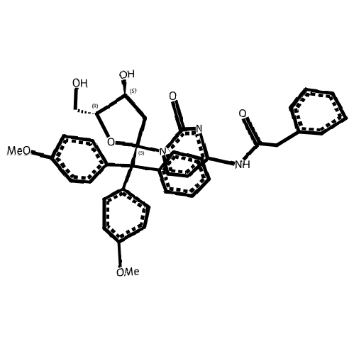 COc1ccc(C(c2ccccc2)(c2ccc(OC)cc2)[C@]2(n3ccc(NC(=O)Cc4ccccc4)nc3=O)C[C@H](O)[C@@H](CO)O2)cc1